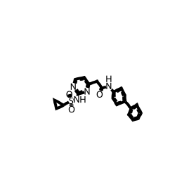 O=C(Cc1ccnc(NS(=O)(=O)C2CC2)n1)Nc1ccc(-c2ccccc2)cc1